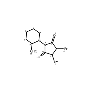 CC(C)C1C(=O)N(C2CCCCC2C=O)C(=O)C1C(C)C